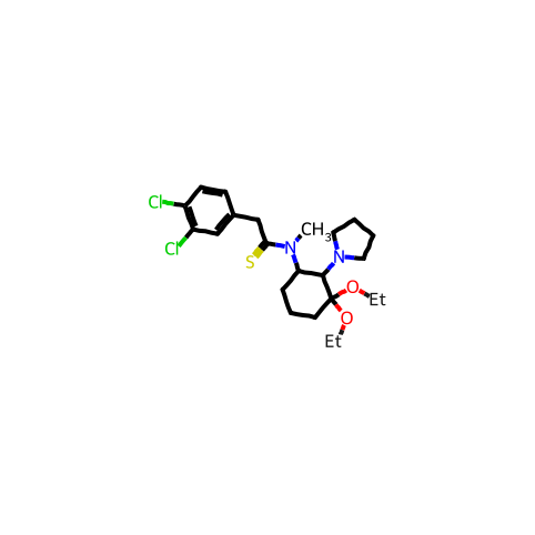 CCOC1(OCC)CCCC(N(C)C(=S)Cc2ccc(Cl)c(Cl)c2)C1N1CCCC1